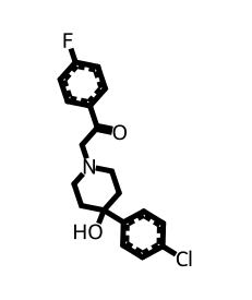 O=C(CN1CCC(O)(c2ccc(Cl)cc2)CC1)c1ccc(F)cc1